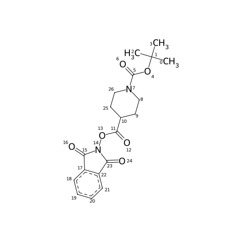 CC(C)(C)OC(=O)N1CCC(C(=O)ON2C(=O)c3ccccc3C2=O)CC1